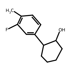 Cc1ccc(C2CCCCC2O)cc1F